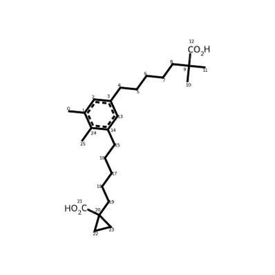 Cc1cc(CCCCCC(C)(C)C(=O)O)cc(CCCCCC2(C(=O)O)CC2)c1C